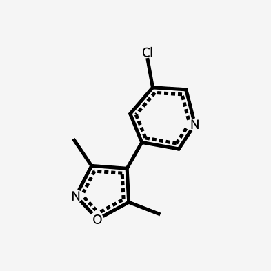 Cc1noc(C)c1-c1cncc(Cl)c1